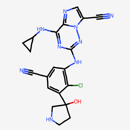 N#Cc1cc(Nc2nc(NC3CC3)c3ncc(C#N)n3n2)c(Cl)c(C2(O)CCNC2)c1